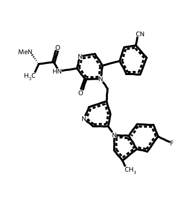 CN[C@@H](C)C(=O)Nc1ncc(-c2cccc(C#N)c2)n(Cc2cncc(-n3cc(C)c4cc(F)ccc43)c2)c1=O